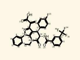 C=C(C(=O)O)c1nn(-c2ccccc2)c2c1[C@@H](c1ccc(F)cc1)[C@H](NC(=O)c1cccc(C(F)(F)F)c1)C(=O)N2CC